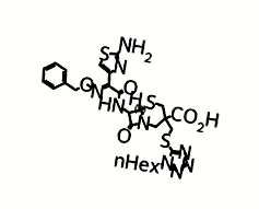 CCCCCCn1nnnc1SCC1(C(=O)O)CS[C@@H]2C(NC(=O)C(=NOCc3ccccc3)c3csc(N)n3)C(=O)N2C1